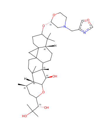 C[C@@H]1CC([C@H](O)C(C)(C)O)OC2[C@H]1C1(C)CCC34CC35CCC(O[C@H]3CN(Cc6cocn6)CCO3)C(C)(C)[C@@H]5CCC4[C@]1(C)[C@H]2O